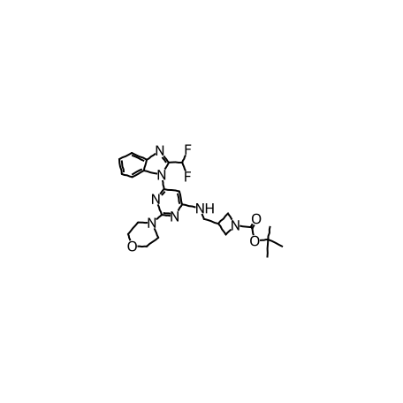 CC(C)(C)OC(=O)N1CC(CNc2cc(-n3c(C(F)F)nc4ccccc43)nc(N3CCOCC3)n2)C1